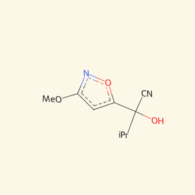 COc1cc(C(O)(C#N)C(C)C)on1